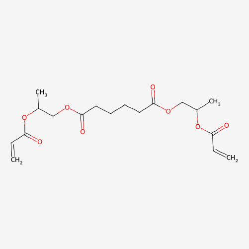 C=CC(=O)OC(C)COC(=O)CCCCC(=O)OCC(C)OC(=O)C=C